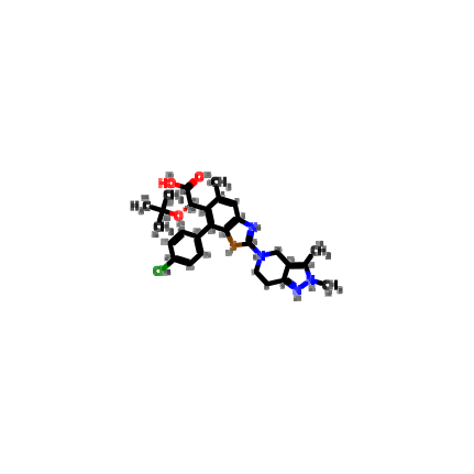 Cc1cc2nc(N3CCc4nn(C)c(C)c4C3)sc2c(-c2ccc(Cl)cc2)c1[C@H](OC(C)(C)C)C(=O)O